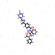 CC(=O)[C@@H](NC(=O)C1(NC(=O)c2ccc(-c3csc(N4CCN(C)CC4)n3)cc2)CCCCC1)c1ccccc1